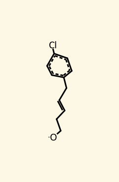 [O]CCC=CCc1ccc(Cl)cc1